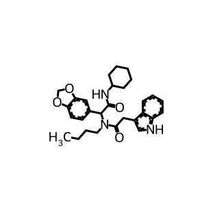 CCCCN(C(=O)Cc1c[nH]c2ccccc12)C(C(=O)NC1CCCCC1)c1ccc2c(c1)OCO2